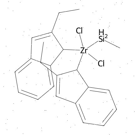 CCC1=Cc2ccccc2[CH]1[Zr]([Cl])([Cl])([SiH2]C)[CH]1C(CC)=Cc2ccccc21